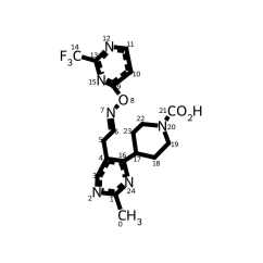 Cc1ncc(CC=NOc2ccnc(C(F)(F)F)n2)c(C2CCN(C(=O)O)CC2)n1